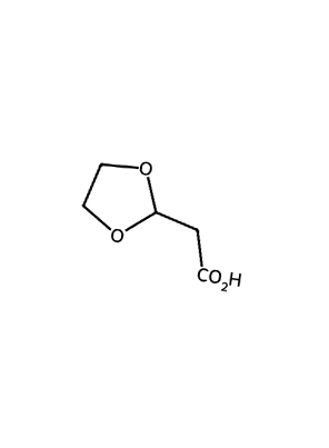 O=C(O)CC1OCCO1